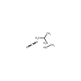 CC(C)N.CO.O=C=O